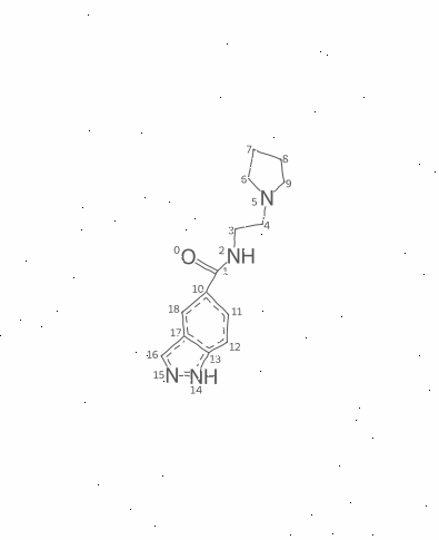 O=C(NCCN1CCCC1)c1ccc2[nH]ncc2c1